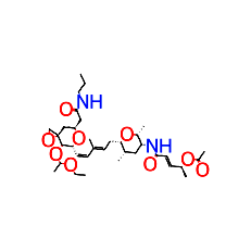 CCCNC(=O)C[C@@H]1C[C@@]2(CO2)[C@H](OC(C)OCC)[C@@H](C=CC(C)=CC[C@@H]2O[C@H](C)[C@H](NC(=O)C=C[C@H](C)OC(C)=O)C[C@@H]2C)O1